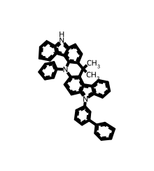 CC1(C)c2ccc3[nH]c4ccccc4c3c2N(c2ccccc2)c2ccc3c(c21)c1ccccc1n3-c1cccc(-c2ccccc2)c1